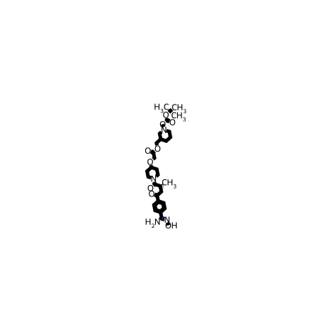 C[C@H](CC(=O)c1ccc(/C(N)=N/O)cc1)C(=O)N1CCC(OCC(=O)OCC2CCCN(OC(=O)OC(C)(C)C)C2)CC1